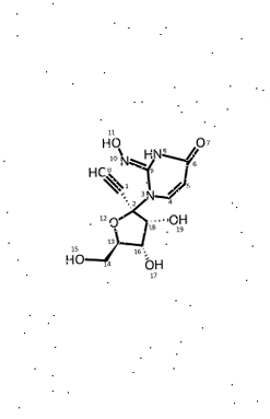 C#C[C@@]1(n2ccc(=O)[nH]/c2=N\O)O[C@H](CO)[C@@H](O)[C@H]1O